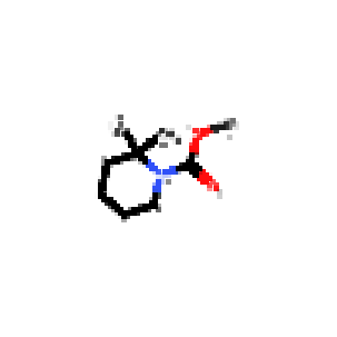 CC(C)(C)OC(=O)N1CCCCC1(C)C